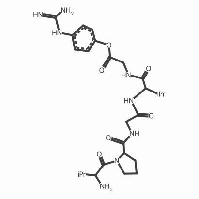 CC(C)C(N)C(=O)N1CCCC1C(=O)NCC(=O)NC(C(=O)NCC(=O)Oc1ccc(NC(=N)N)cc1)C(C)C